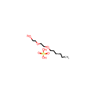 CCCCCCOCCOCCO.O=S(=O)(O)O